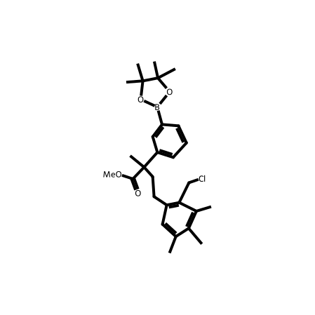 COC(=O)C(C)(CCc1cc(C)c(C)c(C)c1CCl)c1cccc(B2OC(C)(C)C(C)(C)O2)c1